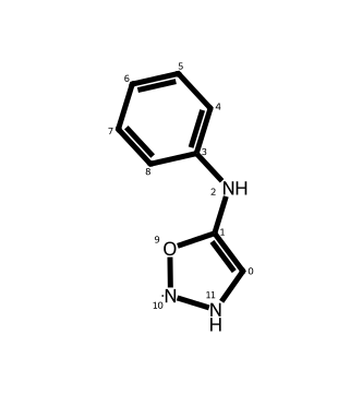 C1=C(Nc2ccccc2)O[N]N1